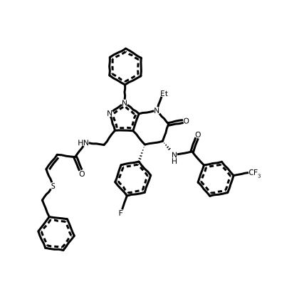 CCN1C(=O)[C@H](NC(=O)c2cccc(C(F)(F)F)c2)[C@H](c2ccc(F)cc2)c2c(CNC(=O)/C=C\SCc3ccccc3)nn(-c3ccccc3)c21